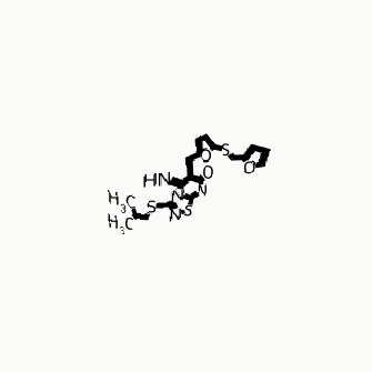 CC(C)CSC1=NSC2=NC(=O)/C(=C\c3ccc(SCc4ccco4)o3)C(=N)N12